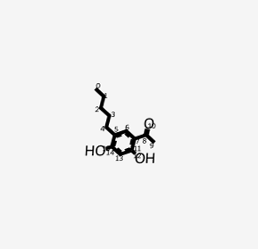 CCCCCc1cc(C(C)=O)c(O)cc1O